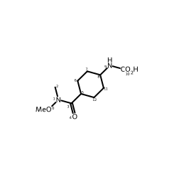 CON(C)C(=O)C1CCC(NC(=O)O)CC1